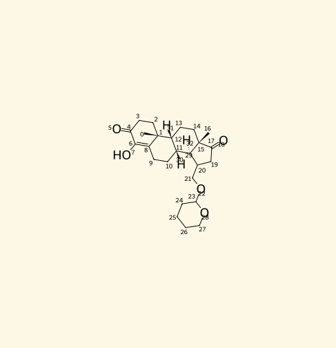 C[C@]12CCC(=O)C(O)=C1CC[C@@H]1[C@H]2CC[C@]2(C)C(=O)CC(COC3CCCCO3)[C@@H]12